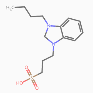 CCCCN1CN(CCCS(=O)(=O)O)c2ccccc21